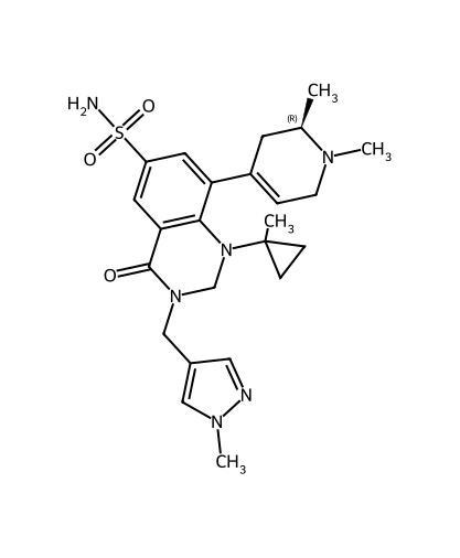 C[C@@H]1CC(c2cc(S(N)(=O)=O)cc3c2N(C2(C)CC2)CN(Cc2cnn(C)c2)C3=O)=CCN1C